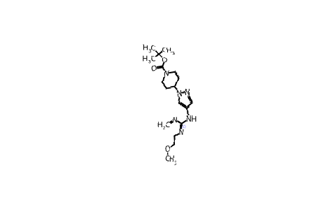 C=N/C(=N\CCOC)Nc1cnn(C2CCN(C(=O)OC(C)(C)C)CC2)c1